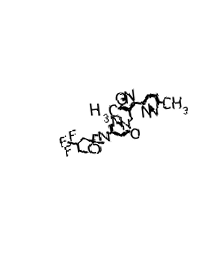 Cc1ccc(-c2noc(C)c2Cn2ncc(N3CC4(CC(C(F)(F)F)CCO4)C3)cc2=O)nn1